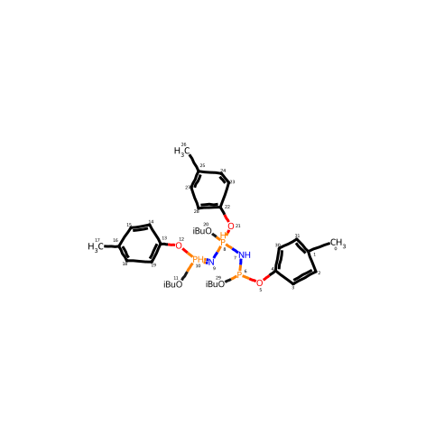 Cc1ccc(OP(N[PH](N=[PH](OCC(C)C)Oc2ccc(C)cc2)(OCC(C)C)Oc2ccc(C)cc2)OCC(C)C)cc1